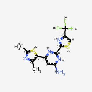 Cc1nc(C)c(-c2cc(N)nc(-c3nc(C(F)(F)F)cs3)n2)s1